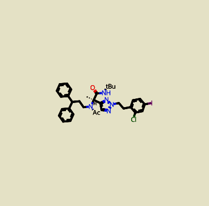 CC(=O)N(CCC(c1ccccc1)c1ccccc1)[C@@](C)(C(=O)NC(C)(C)C)c1cnn(CCc2ccc(I)cc2Cl)n1